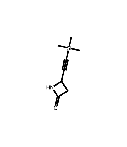 C[Si](C)(C)C#CC1CC(=O)N1